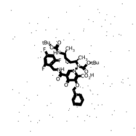 C[C@H](NC(=O)OC(C)(C)C)[C@H]1C[C@H]1[C@@H](C)N(C(=O)OC(C)(C)C)n1cc(C(=O)NCc2c(F)cc(F)cc2F)c(=O)c(OCc2ccccc2)c1C(=O)O